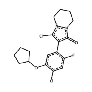 O=c1c(-c2cc(OC3CCCC3)c(Cl)cc2F)c(Cl)n2n1CCCC2